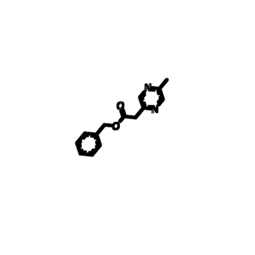 Cc1cnc(CC(=O)OCc2ccccc2)cn1